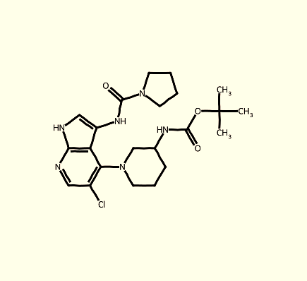 CC(C)(C)OC(=O)NC1CCCN(c2c(Cl)cnc3[nH]cc(NC(=O)N4CCCC4)c23)C1